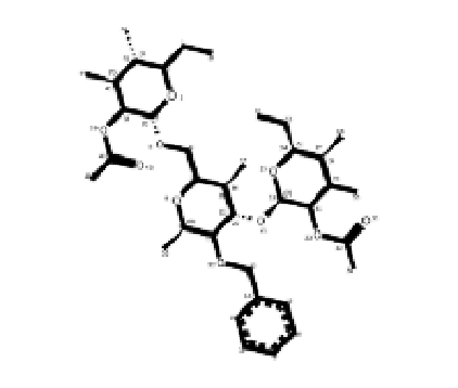 CCC1O[C@H](OCC2O[C@H](C)C(OCc3ccccc3)[C@@H](O[C@H]3O[C@@H](CC)[C@@H](C)C(C)C3OC(C)=O)[C@@H]2C)C(OC(C)=O)[C@@H](C)[C@@H]1C